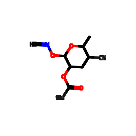 B=NOC1OC(C)C(C#N)CC1OC(=O)C(C)(C)C